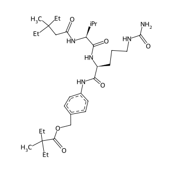 CCC(C)(CC)CC(=O)N[C@H](C(=O)N[C@@H](CCCNC(N)=O)C(=O)Nc1ccc(COC(=O)C(C)(CC)CC)cc1)C(C)C